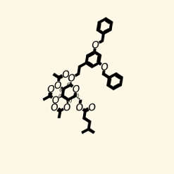 CC(=O)O[C@@H]1[C@@H](OC(C)=O)[C@H](OCCc2cc(OCc3ccccc3)cc(OCc3ccccc3)c2)O[C@H](COC(=O)CCC(C)C)[C@H]1OC(C)=O